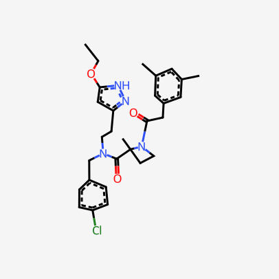 CCOc1cc(CCN(Cc2ccc(Cl)cc2)C(=O)C2(C)CCN2C(=O)Cc2cc(C)cc(C)c2)n[nH]1